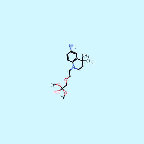 CCOC(O)(COCCN1CCC(C)(C)c2cc(N)ccc21)OCC